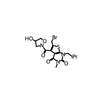 CC(C)Cn1c(=O)n(C)c(=O)c2c(C(=O)N3CC(O)CO3)c(CBr)sc21